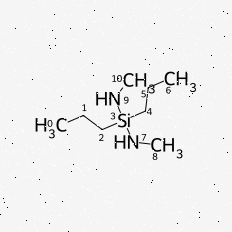 CCC[Si](CCC)(NC)NC